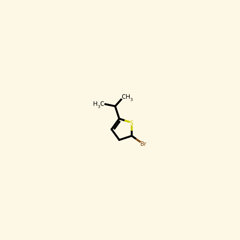 CC(C)C1=CCC(Br)S1